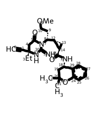 C#C[C@@]1(CC)CC(=O)N([C@H](CCOC)[C@@H]2C[C@H]2C(=O)N[C@H]2CC(C)(C)Oc3ccccc32)C(=N)N1